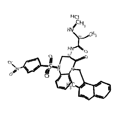 CN[C@@H](C)C(=O)N[C@H]1CN(S(=O)(=O)c2ccc([N+](=O)[O-])cc2)c2ccccc2N(Cc2c(C)ccc3ccccc23)C1=O.Cl